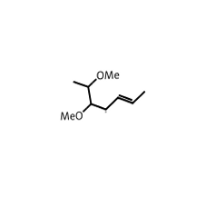 CC=C[CH]C(OC)C(C)OC